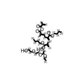 C=C(C)C(=O)OC(=O)C(C)=CCC(=C)C(=O)OCCCC.C=C(C)C(=O)OCCCC.CCOC(CO)OCCOCCO